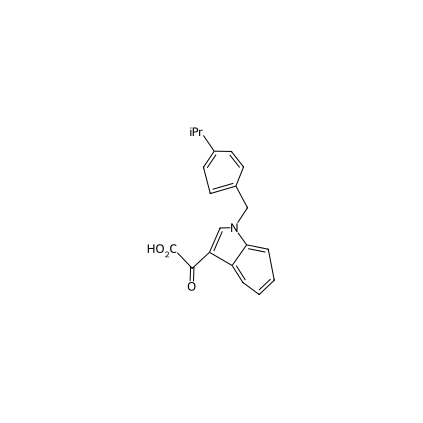 CC(C)c1ccc(Cn2cc(C(=O)C(=O)O)c3ccccc32)cc1